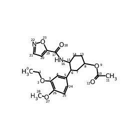 CCOc1cc(C2CC(OC(C)=O)CCC2NC(=O)c2ccno2)ccc1OC